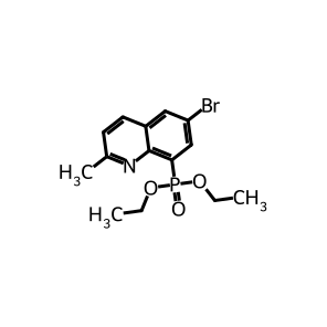 CCOP(=O)(OCC)c1cc(Br)cc2ccc(C)nc12